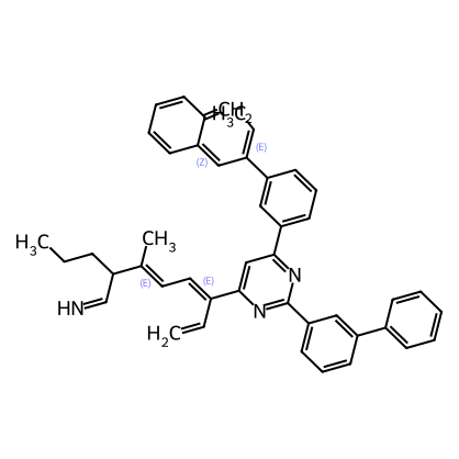 C=C/C(=C\C=C(/C)C(C=N)CCC)c1cc(-c2cccc(C(/C=c3/ccccc3=C)=C/C)c2)nc(-c2cccc(-c3ccccc3)c2)n1